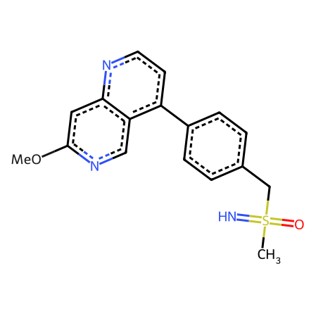 COc1cc2nccc(-c3ccc(CS(C)(=N)=O)cc3)c2cn1